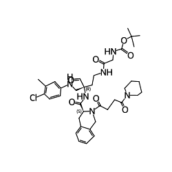 Cc1cc(NC[C@@](C=O)(CCNC(=O)CNC(=O)OC(C)(C)C)NC(=O)[C@@H]2Cc3ccccc3CN2C(=O)CCC(=O)N2CCCCC2)ccc1Cl